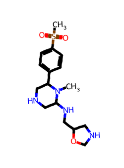 CN1C(NCC2CNCO2)CNCC1c1ccc(S(C)(=O)=O)cc1